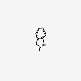 C[N+]1=Nc2ccccc2C1